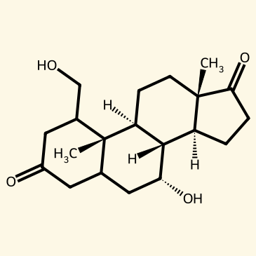 C[C@]12C(CO)CC(=O)CC1C[C@@H](O)[C@@H]1[C@@H]2CC[C@]2(C)C(=O)CC[C@@H]12